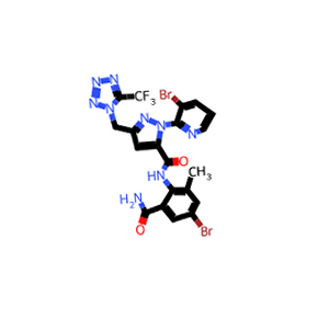 Cc1cc(Br)cc(C(N)=O)c1NC(=O)c1cc(Cn2nnnc2C(F)(F)F)nn1-c1ncccc1Br